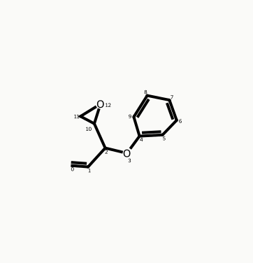 C=CC(Oc1ccccc1)C1CO1